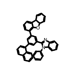 C1=CC2Oc3c(-c4cc(-c5cccc6ccccc56)cc(-c5nc6ccccc6n5-c5ccccc5)c4)cccc3C2C=C1